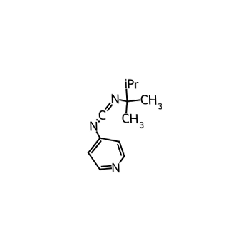 CC(C)C(C)(C)N=C=Nc1ccncc1